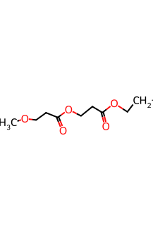 [CH2]COC(=O)CCOC(=O)CCOC